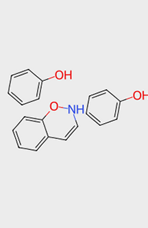 C1=Cc2ccccc2ON1.Oc1ccccc1.Oc1ccccc1